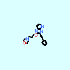 C(#Cc1nc2ncccc2nc1OCCCN1CCOCC1)c1ccccc1